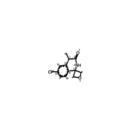 CC1C(=O)NC2(COC2)c2ccc(Cl)cc21